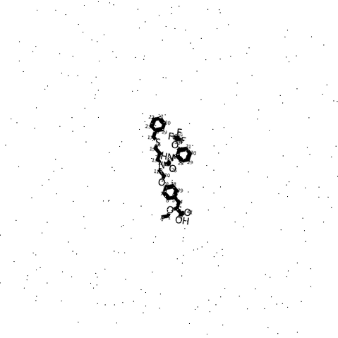 CCOC(Cc1ccc(OCCN(CCCSCc2ccccc2)C(=O)Nc2ccccc2OC(F)(F)F)cc1)C(=O)O